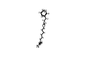 [N-]=[N+]=NCCCCCCOCCCc1cccnc1